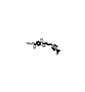 CNC(=O)c1ccc(NC(=O)/C=C/CN2CCN(C3CC3)CC2)cc1